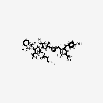 CCCC(=O)OCN(C(=O)[C@@H](NC(=O)[C@H]1CCCCN1C)C(C)CC)[C@H](C[C@@H](O)c1nc(C(=O)NC(Cc2ccc(O)cc2)C[C@H](C)C(=O)O)cs1)C(C)C